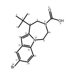 CC(C)(C)C1CN(C(=O)O)CCn2c1cc1cc(Br)ccc12